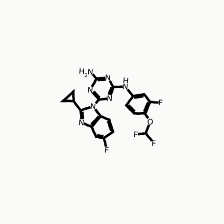 Nc1nc(Nc2ccc(OC(F)F)c(F)c2)nc(-n2c(C3CC3)nc3cc(F)ccc32)n1